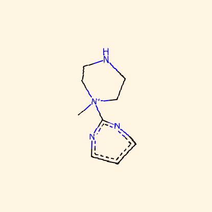 C[N+]1(c2ncccn2)CCNCC1